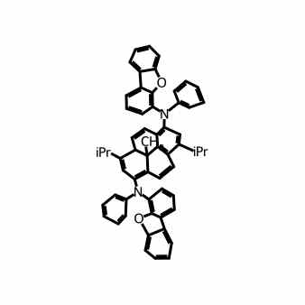 CC(C)C1=CC(N(c2ccccc2)c2cccc3c2oc2ccccc23)=C2C=Cc3c(C(C)C)cc(N(c4ccccc4)c4cccc5c4oc4ccccc45)c4c3C2(C)C1C=C4